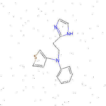 c1ccc(N(CCc2ncc[nH]2)c2ccsc2)cc1